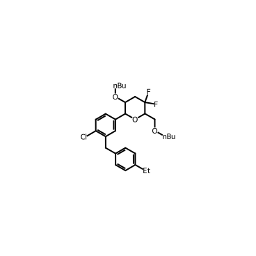 CCCCOCC1OC(c2ccc(Cl)c(Cc3ccc(CC)cc3)c2)C(OCCCC)CC1(F)F